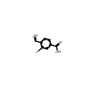 [CH]=Cc1ccc(C(=O)O)cc1F